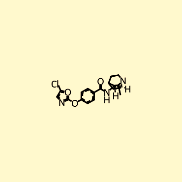 C[C@H]1[C@H](NC(=O)c2ccc(Oc3ncc(Cl)o3)cc2)C2CCN1CC2